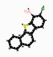 Bc1c(Cl)ccc2c1sc1c3ccccc3ccc21